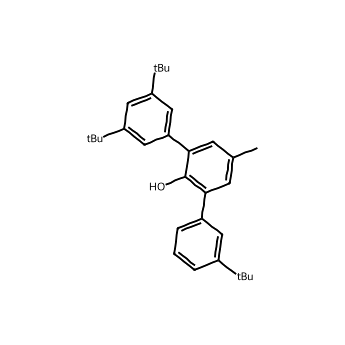 Cc1cc(-c2cccc(C(C)(C)C)c2)c(O)c(-c2cc(C(C)(C)C)cc(C(C)(C)C)c2)c1